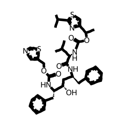 CC(C)c1nc(C(C)OC(=O)N[C@H](C(=O)N[C@@H](Cc2ccccc2)C[C@H](O)[C@H](Cc2ccccc2)NC(=O)OCc2cncs2)C(C)C)cs1